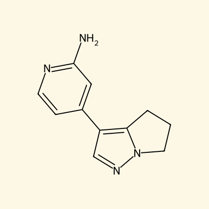 Nc1cc(-c2cnn3c2CCC3)ccn1